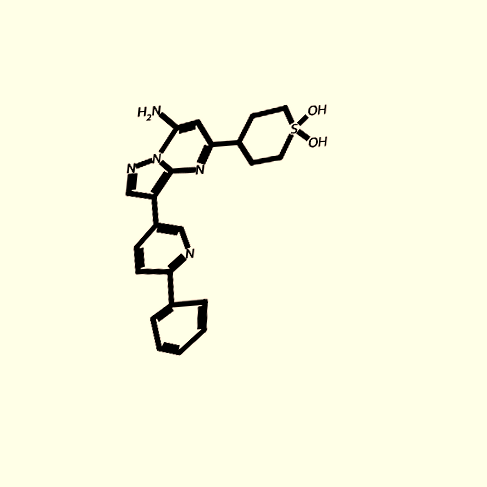 Nc1cc(C2CCS(O)(O)CC2)nc2c(-c3ccc(-c4ccccc4)nc3)cnn12